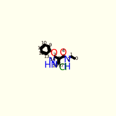 CCNC(=O)c1c(Oc2ccccc2)n[nH]c1Cl